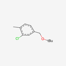 Cc1ccc(COC(C)(C)C)cc1Cl